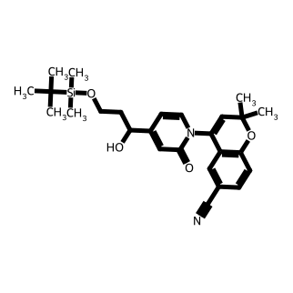 CC1(C)C=C(n2ccc(C(O)CCO[Si](C)(C)C(C)(C)C)cc2=O)c2cc(C#N)ccc2O1